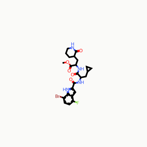 COC(=O)C(CC1CCCNC1=O)NC(=O)C(CC1CC1)NC(=O)c1cc2c(F)ccc(Br)c2[nH]1